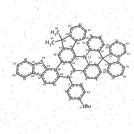 CC(C)(C)c1ccc(N2B3c4cccc5c4N(c4ccccc4C5(c4ccccc4)c4ccccc4)c4c3c(cc3c4-c4ccccc4C3(C)C)-c3c2ccc2c3sc3ccccc32)cc1